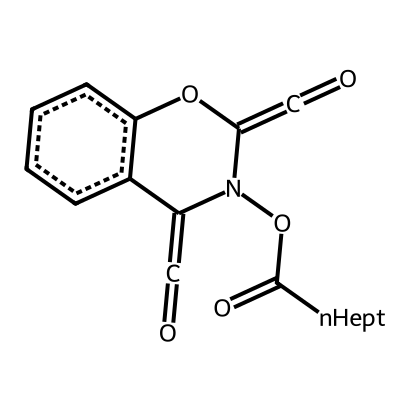 CCCCCCCC(=O)ON1C(=C=O)Oc2ccccc2C1=C=O